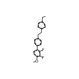 CCc1ccc(CCc2ccc(-c3ccc(OC)c(F)c3F)cc2)cc1